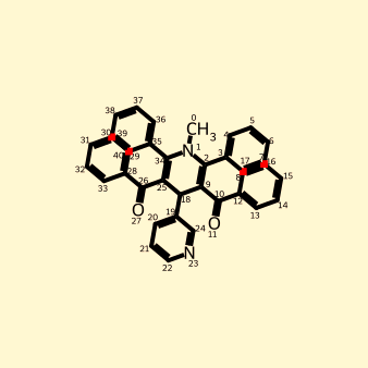 CN1C(c2ccccc2)=C(C(=O)c2ccccc2)C(c2cccnc2)C(C(=O)c2ccccc2)=C1c1ccccc1